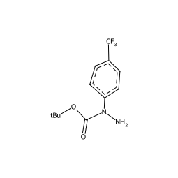 CC(C)(C)OC(=O)N(N)c1ccc(C(F)(F)F)cc1